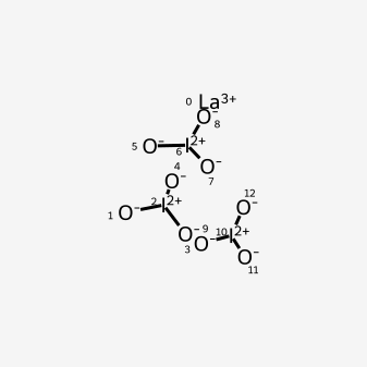 [La+3].[O-][I+2]([O-])[O-].[O-][I+2]([O-])[O-].[O-][I+2]([O-])[O-]